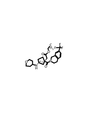 CCOC(=O)C[C@]1(C(=O)N2CCc3ccc(C(F)(F)F)cc3C2)CC[C@@H](NC2CCOCC2)C1